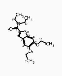 CCOc1cc2cc(C(=O)N(CC)CC)sc2cc1OCC